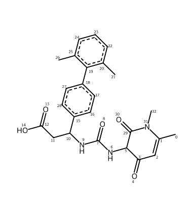 CC1=CC(=O)C(NC(=O)NC(CC(=O)O)c2ccc(-c3c(C)cccc3C)cc2)C(=O)N1C